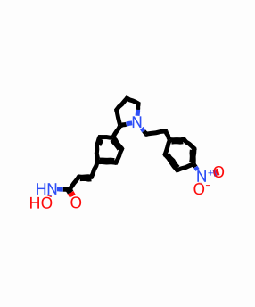 O=C(C=Cc1ccc(C2CCCN2CCc2ccc([N+](=O)[O-])cc2)cc1)NO